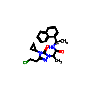 CC(C(=O)N[C@H](C)c1cccc2ccccc12)n1nc(CCCl)n(C2CC2)c1=O